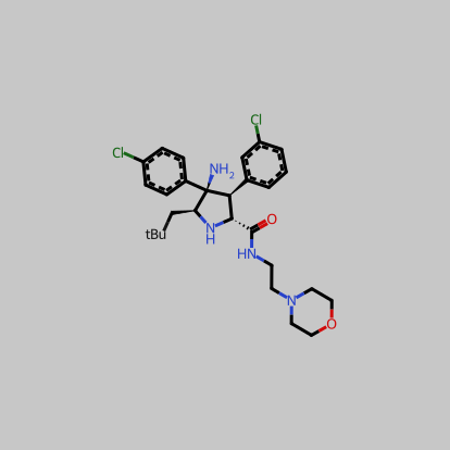 CC(C)(C)C[C@@H]1N[C@@H](C(=O)NCCN2CCOCC2)[C@H](c2cccc(Cl)c2)[C@@]1(N)c1ccc(Cl)cc1